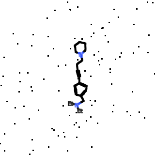 CCN(CC)Cc1ccc(C#CCCN2CCCCC2)cc1